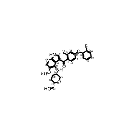 CCOc1cnc2[nH]cc(C(=O)c3ccc(Oc4ccccc4F)cc3C)c2c1N[C@@H]1CC[C@@H](CO)OC1